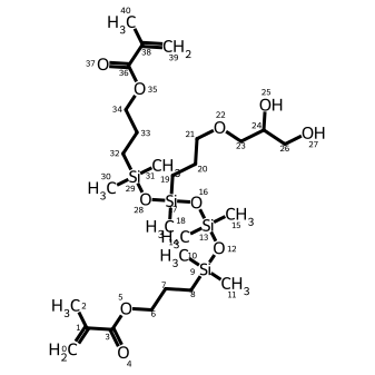 C=C(C)C(=O)OCCC[Si](C)(C)O[Si](C)(C)O[Si](C)(CCCOCC(O)CO)O[Si](C)(C)CCCOC(=O)C(=C)C